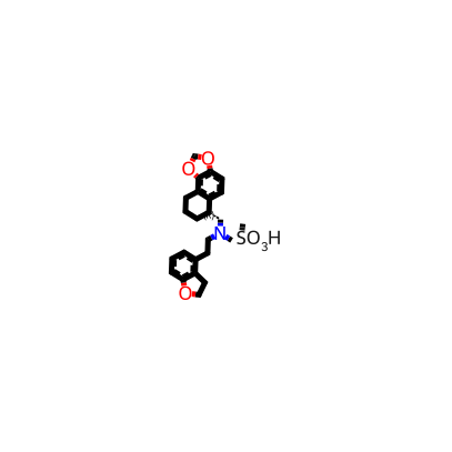 CN(CCc1cccc2c1CCO2)C[C@@H]1CCCc2c1ccc1c2OCO1.CS(=O)(=O)O